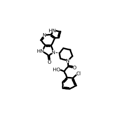 O=C(C(O)c1ccccc1Cl)N1CCC[C@@H](n2c(=O)[nH]c3cnc4[nH]ccc4c32)C1